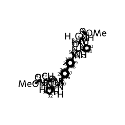 COC(=O)N[C@@H](C)C(=O)N1[C@@H]2CC[C@@H](C2)[C@H]1c1nc(-c2ccc(-c3ccc(C4=CNC([C@@H]5[C@H]6CC[C@H](C6)N5C(=O)[C@H](C)NC(=O)OC)N4)cc3)cc2)c[nH]1